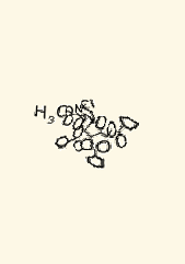 COC(=O)c1nc(Cl)cn(C2OC(COC(=O)c3ccccc3)C(OC(=O)c3ccccc3)C2OC(=O)c2ccccc2)c1=O